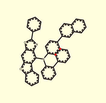 c1ccc(-c2nc3c(N(c4ccc(-c5ccc6ccccc6c5)cc4)c4ccccc4-c4ccccc4)c4c(cc3o2)oc2ccccc24)cc1